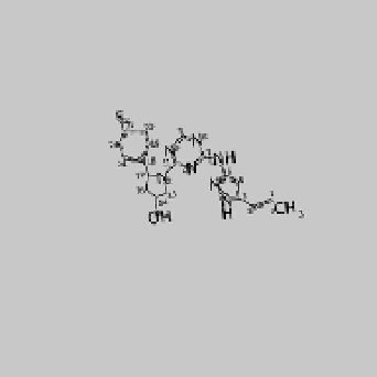 C/C=C/c1cc(Nc2ncnc(N3CC(O)CC3c3ccc(F)cc3)n2)n[nH]1